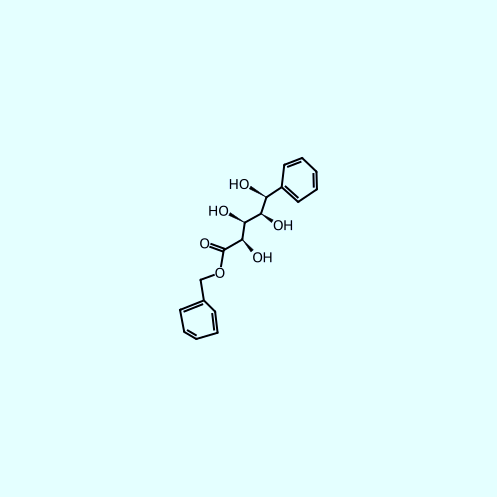 O=C(OCc1ccccc1)[C@H](O)[C@@H](O)[C@H](O)[C@@H](O)c1ccccc1